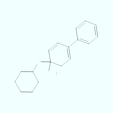 O=C(O)C1(OC2CCCCC2)C=CC(c2ccccc2)=CC1